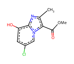 COC(=O)c1c(C)nc2c(O)cc(Cl)cn12